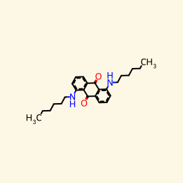 CCCCCCNc1cccc2c1C(=O)c1cccc(NCCCCCC)c1C2=O